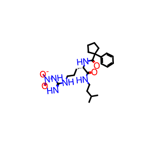 CC(C)CCNC(=O)[C@H](CCCNC(=N)N[N+](=O)[O-])NC(=O)C1(c2ccccc2)CCCC1